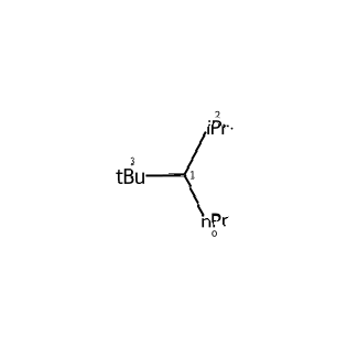 CCCC([C](C)C)C(C)(C)C